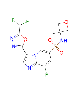 CC1(NS(=O)(=O)c2cc(F)c3ncc(-c4nnc(C(F)F)o4)n3c2)COC1